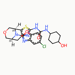 O=C(Nc1nc2c(s1)[C@@H]1COC[C@H](C2)N1c1nc2cc(Cl)ccc2o1)NC1CCC(O)CC1